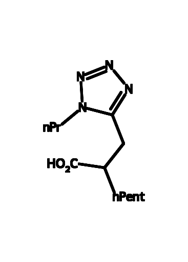 CCCCCC(Cc1nnnn1CCC)C(=O)O